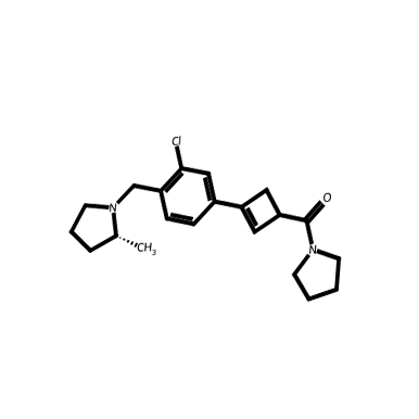 C[C@@H]1CCCN1Cc1ccc(C2=CC(C(=O)N3CCCC3)C2)cc1Cl